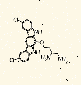 NCC(N)CCOc1c2[nH]c3ccc(Cl)cc3c2cc2c1[nH]c1ccc(Cl)cc12